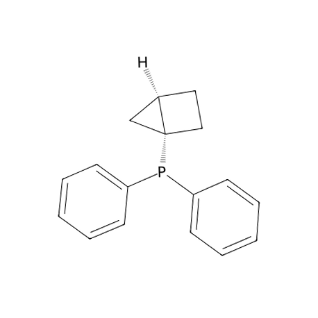 c1ccc(P(c2ccccc2)[C@@]23CC[C@@H]2C3)cc1